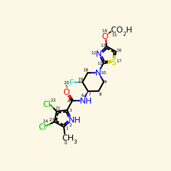 Cc1[nH]c(C(=O)N[C@@H]2CCN(c3nc(OC(=O)O)cs3)C[C@@H]2F)c(Cl)c1Cl